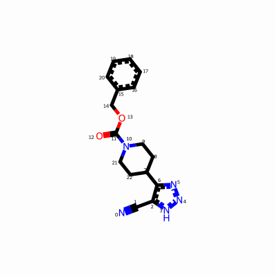 N#Cc1[nH]nnc1C1CCN(C(=O)OCc2ccccc2)CC1